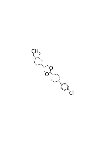 C=C[C@H]1CC[C@H]([C@H]2CO[C@H]([C@H]3CC[C@H](c4ccc(Cl)cc4)CC3)OC2)CC1